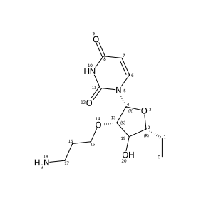 CC[C@H]1O[C@@H](n2ccc(=O)[nH]c2=O)[C@@H](OCCCN)C1O